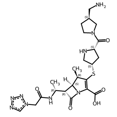 C[C@@H](NC(=O)Cn1cnnn1)[C@H]1C(=O)N2C(C(=O)O)=C(S[C@@H]3CN[C@H](C(=O)N4CC[C@@H](CN)C4)C3)[C@H](C)[C@H]12